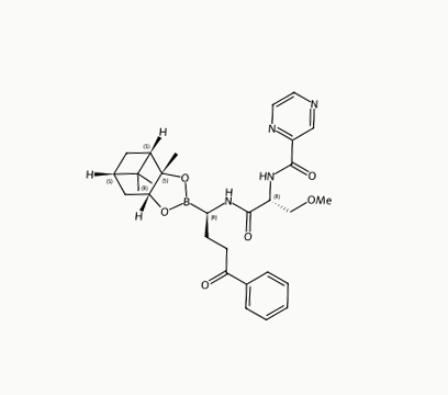 COC[C@@H](NC(=O)c1cnccn1)C(=O)N[C@@H](CCC(=O)c1ccccc1)B1O[C@@H]2C[C@@H]3C[C@@H](C3(C)C)[C@]2(C)O1